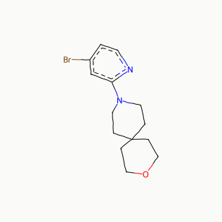 Brc1ccnc(N2CCC3(CCOCC3)CC2)c1